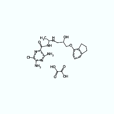 CC(NCC(O)COc1cccc2c1CCC2)NC(=O)c1nc(Cl)c(N)nc1N.O=C(O)C(=O)O